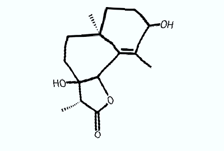 CC1=C2C3OC(=O)[C@H](C)C3(O)CC[C@@]2(C)CCC1O